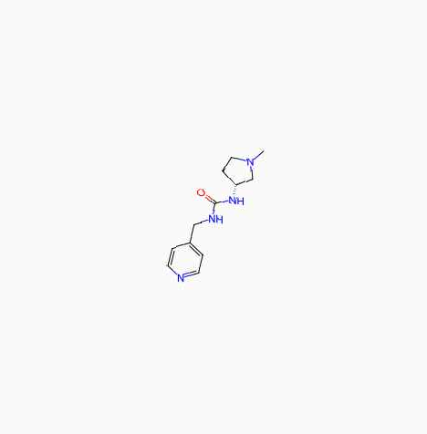 CN1CC[C@@H](NC(=O)NCc2ccncc2)C1